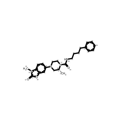 C[C@@H]1CN(c2ccc3c(c2)oc(=O)n3C)CCN1C(=O)NCCCCc1ccccc1